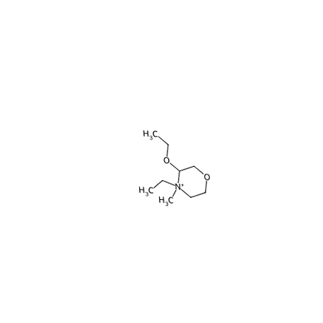 CCOC1COCC[N+]1(C)CC